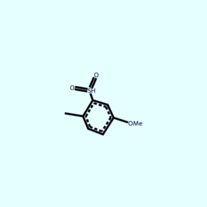 COc1ccc(C)c([SH](=O)=O)c1